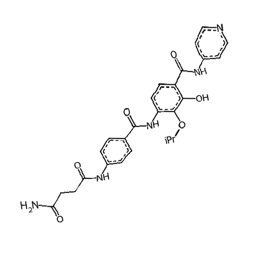 CC(C)Oc1c(NC(=O)c2ccc(NC(=O)CCC(N)=O)cc2)ccc(C(=O)Nc2ccncc2)c1O